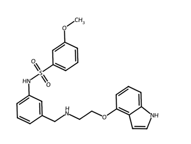 COc1cccc(S(=O)(=O)Nc2cccc(CNCCOc3cccc4[nH]ccc34)c2)c1